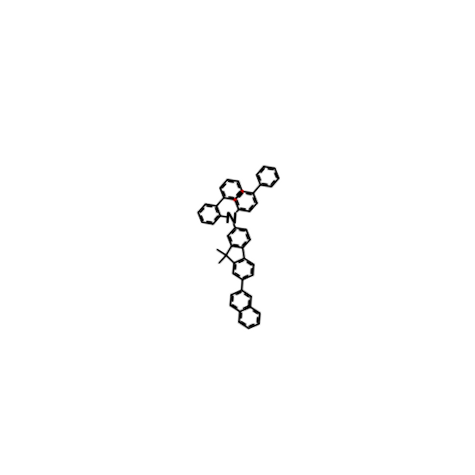 CC1(C)c2cc(-c3ccc4ccccc4c3)ccc2-c2ccc(N(c3ccc(-c4ccccc4)cc3)c3ccccc3-c3ccccc3)cc21